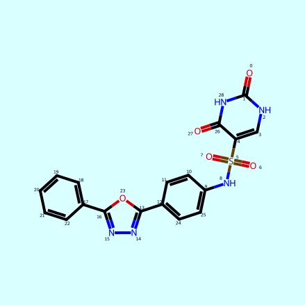 O=c1[nH]cc(S(=O)(=O)Nc2ccc(-c3nnc(-c4ccccc4)o3)cc2)c(=O)[nH]1